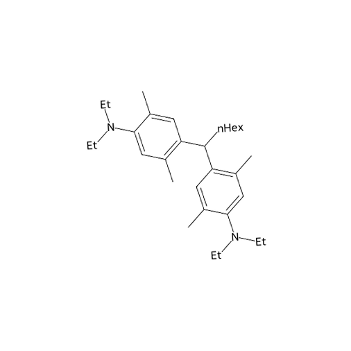 CCCCCCC(c1cc(C)c(N(CC)CC)cc1C)c1cc(C)c(N(CC)CC)cc1C